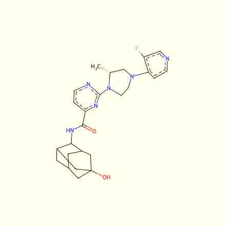 C[C@@H]1CN(c2ccncc2F)CCN1c1nccc(C(=O)NC2C3CC4CC2CC(O)(C4)C3)n1